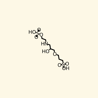 O=S(=O)(O)CCCOCC(O)CNCCOS(=O)(=O)O